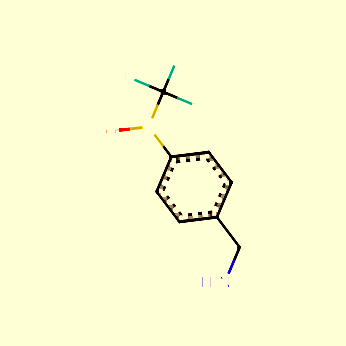 NCc1ccc([S+]([O-])C(F)(F)F)cc1